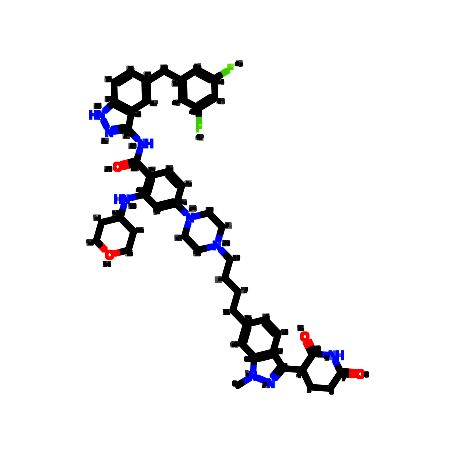 Cn1nc(C2CCC(=O)NC2=O)c2ccc(CCCCN3CCN(c4ccc(C(=O)Nc5n[nH]c6ccc(Cc7cc(F)cc(F)c7)cc56)c(NC5CCOCC5)c4)CC3)cc21